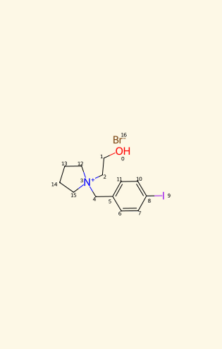 OCC[N+]1(Cc2ccc(I)cc2)CCCC1.[Br-]